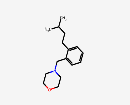 CC(C)CCc1cc[c]cc1CN1CCOCC1